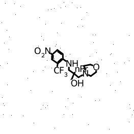 CCCC(CO)(CNc1ccc([N+](=O)[O-])cc1C(F)(F)F)CN1CCOCC1